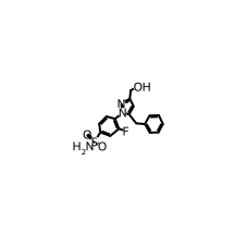 NS(=O)(=O)c1ccc(-n2nc(CO)cc2Cc2ccccc2)c(F)c1